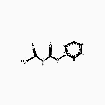 NC(=O)NC(=O)O[n+]1ccccc1